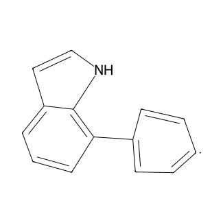 [c]1ccc(-c2cccc3cc[nH]c23)cc1